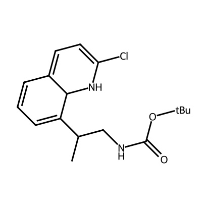 CC(CNC(=O)OC(C)(C)C)C1=CC=CC2=CC=C(Cl)NC21